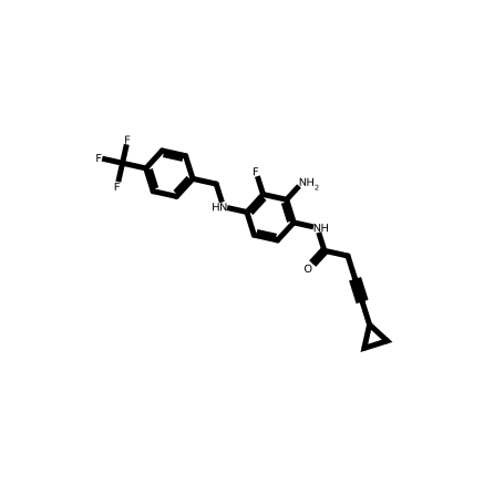 Nc1c(NC(=O)CC#CC2CC2)ccc(NCc2ccc(C(F)(F)F)cc2)c1F